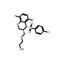 O=S(=O)(c1ccc(Cl)cc1)[C@H]1c2c(F)ccc(F)c2OC[C@@H]1CSCCO